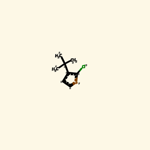 CC(C)(C)c1ccsc1Cl